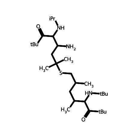 CC(CSC(C)(C)CC(N)C(NC(C)C)C(=O)C(C)(C)C)CC(C)C(NC(C)(C)C)C(=O)C(C)(C)C